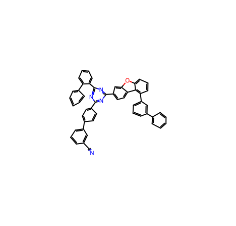 N#Cc1cccc(-c2ccc(-c3nc(-c4ccc5c(c4)oc4cccc(-c6cccc(-c7ccccc7)c6)c45)nc(-c4ccccc4-c4ccccc4)n3)cc2)c1